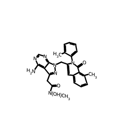 Cc1ccccc1-n1c(Cn2nc(CC(=O)N(C)O)c3c(N)ncnc32)cc2cccc(C)c2c1=O